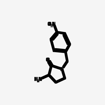 NC1CCN(Cc2ccc([N+](=O)[O-])cc2)C1=O